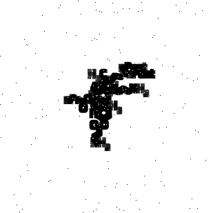 CCCCCN(CCCCC)CCC[C@@H](C)[C@H]1CC[C@H]2[C@@H]3[C@H](OC(=O)CCC)C[C@@H]4C[C@H](OC(=O)CCN)CC[C@]4(C)[C@H]3C[C@H](OCCCN)[C@]12C